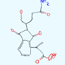 C=C(C(=O)O)c1cccc2c1C(=O)C(C(C=O)CCC(N)=O)C2=O